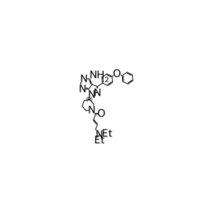 CCN(CC)CC=CC(=O)N1CCC[C@@H](n2nc(-c3ccc(Oc4ccccc4)cc3)c3c(N)ncnc32)C1